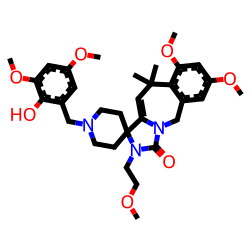 COCCN1C(=O)N2Cc3cc(OC)cc(OC)c3C(C)(C)C=C2C12CCN(Cc1cc(OC)cc(OC)c1O)CC2